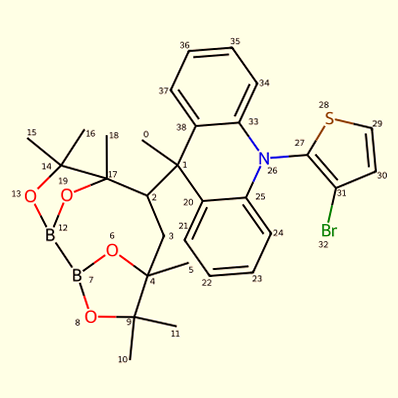 CC1(C2CC3(C)OB(OC3(C)C)B3OC(C)(C)C2(C)O3)c2ccccc2N(c2sccc2Br)c2ccccc21